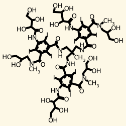 CN(CC(O)CO)C(=O)c1c(I)c(NC(=O)C(O)C(O)CO)c(I)c(C(=O)NCC(C)(CNC(=O)c2c(I)c(NC(=O)C(O)C(O)CO)c(I)c(C(=O)N(C)CC(O)CO)c2I)CNC(=O)c2c(I)c(NC(=O)C(O)C(O)CO)c(I)c(C(=O)N(C)CC(O)CO)c2I)c1I